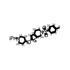 Cc1ccc(S(=O)(=O)N2CCc3cc(OC4CCN(C(C)C)CC4)sc3C2)cc1